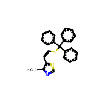 O=C(O)c1ncsc1/C=C\SC(c1ccccc1)(c1ccccc1)c1ccccc1